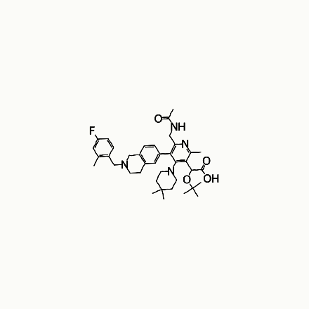 CC(=O)NCc1nc(C)c(C(OC(C)(C)C)C(=O)O)c(N2CCC(C)(C)CC2)c1-c1ccc2c(c1)CCN(Cc1ccc(F)cc1C)C2